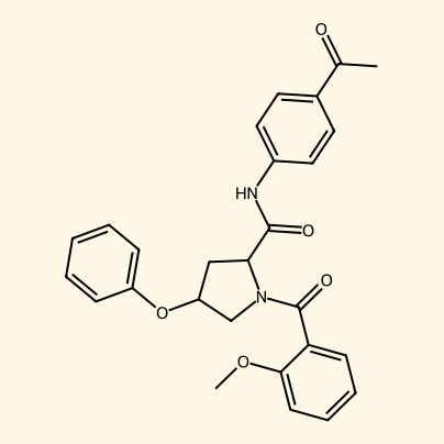 COc1ccccc1C(=O)N1CC(Oc2ccccc2)CC1C(=O)Nc1ccc(C(C)=O)cc1